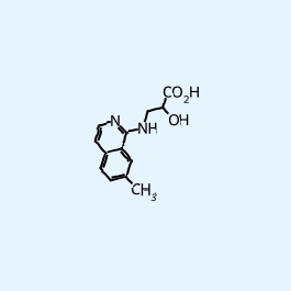 Cc1ccc2ccnc(NCC(O)C(=O)O)c2c1